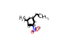 C=Cc1cc(CC)cc([N+](=O)[O-])c1